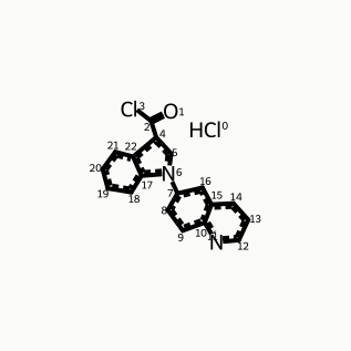 Cl.O=C(Cl)c1cn(-c2ccc3ncccc3c2)c2ccccc12